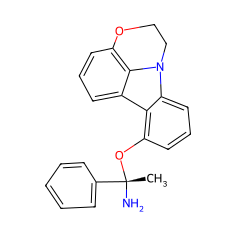 C[C@](N)(Oc1cccc2c1c1cccc3c1n2CCO3)c1ccccc1